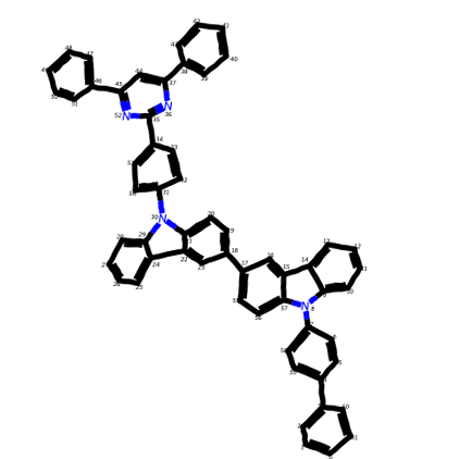 c1ccc(-c2ccc(-n3c4ccccc4c4cc(-c5ccc6c(c5)c5ccccc5n6-c5ccc(-c6nc(-c7ccccc7)cc(-c7ccccc7)n6)cc5)ccc43)cc2)cc1